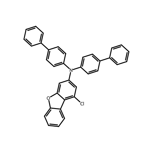 Clc1cc(N(c2ccc(-c3ccccc3)cc2)c2ccc(-c3ccccc3)cc2)cc2oc3ccccc3c12